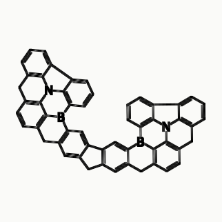 c1cc2c3c(c1)c1cccc4c1n3-c1c(ccc3c1B4c1cc4c(cc1C3)Cc1cc3c(cc1-4)B1c4c(ccc5c4-n4c6c(cccc6c6cccc1c64)C5)C3)C2